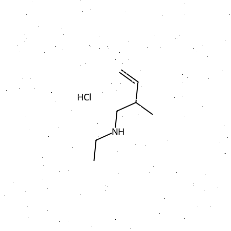 C=CC(C)CNCC.Cl